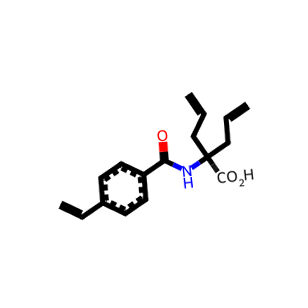 C=CCC(CC=C)(NC(=O)c1ccc(C=C)cc1)C(=O)O